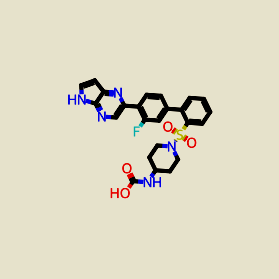 O=C(O)NC1CCN(S(=O)(=O)c2ccccc2-c2ccc(-c3cnc4[nH]ccc4n3)c(F)c2)CC1